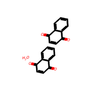 O.O=C1C=CC(=O)c2ccccc21.O=C1C=CC(=O)c2ccccc21